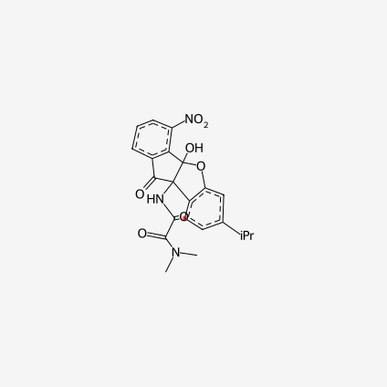 CC(C)c1ccc2c(c1)OC1(O)c3c(cccc3[N+](=O)[O-])C(=O)C21NC(=O)C(=O)N(C)C